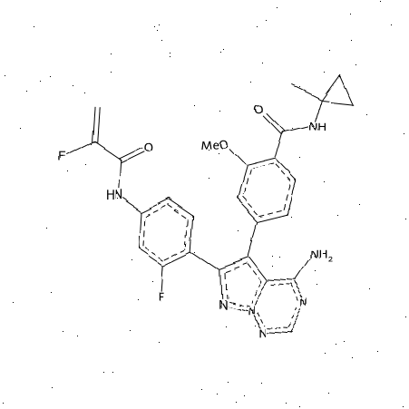 C=C(F)C(=O)Nc1ccc(-c2nn3ncnc(N)c3c2-c2ccc(C(=O)NC3(C)CC3)c(OC)c2)c(F)c1